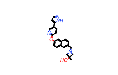 CC1(O)CN(Cc2ccc3cc(Oc4ccc(-c5ccn[nH]5)cn4)ccc3c2)C1